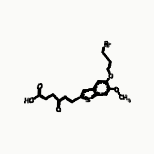 COc1cc2sc(CCC(=O)CCC(=O)O)cc2cc1OCCCBr